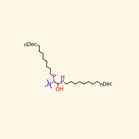 CCCCCCCCCCCCCCCCCC[P-]C(C(O)PCCCCCCCCCCCCCCCCCC)[N+](C)(C)C